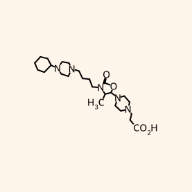 CC1C(N2CCN(CCC(=O)O)CC2)OC(=O)N1CCCCN1CCN(C2CCCCC2)CC1